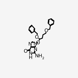 Nc1nc2c(ncn2OC(CCCOCc2ccccc2)OCc2ccccc2)c(=O)[nH]1